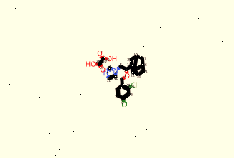 Clc1ccc(COC(Cn2ccnc2)C23CC4CC(CC(C4)C2)C3)c(Cl)c1.O=C(O)C(=O)O